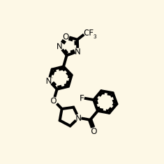 O=C(c1ccccc1F)N1CCC(Oc2ccc(-c3noc(C(F)(F)F)n3)cn2)C1